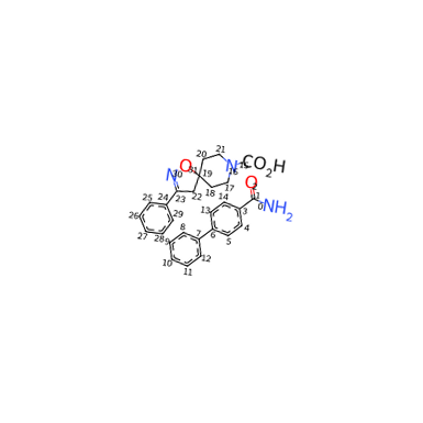 NC(=O)c1ccc(-c2ccccc2)cc1.O=C(O)N1CCC2(CC1)CC(c1ccccc1)=NO2